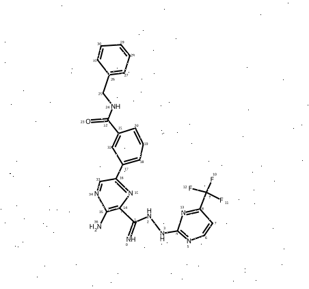 N=C(NNc1nccc(C(F)(F)F)n1)c1nc(-c2cccc(C(=O)NCc3ccccc3)c2)cnc1N